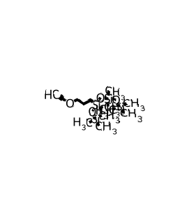 C#COCCC[Si](C)(O[Si](C)(C)C)O[Si](C)(C)O[Si](C)(C)C